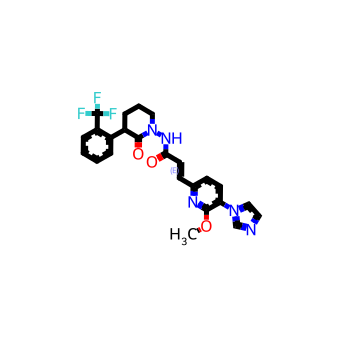 COc1nc(/C=C/C(=O)NN2CCCC(c3ccccc3C(F)(F)F)C2=O)ccc1-n1ccnc1